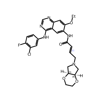 CCOc1cc2ncnc(Nc3ccc(F)c(Cl)c3)c2cc1NC(=O)/C=C/CN1C[C@@H]2OCCO[C@@H]2C1